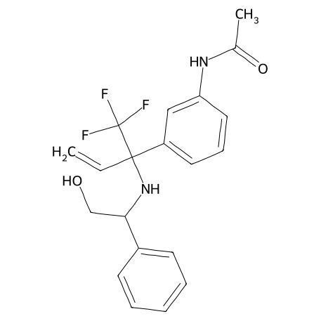 C=CC(NC(CO)c1ccccc1)(c1cccc(NC(C)=O)c1)C(F)(F)F